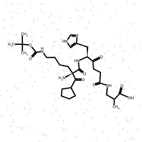 CC(CNC(=S)CCC(=O)[C@H](Cc1c[nH]cn1)NC(=O)[C@@](N)(CCCCNC(=O)OC(C)(C)C)C(=O)C1CCCC1)C(=O)O